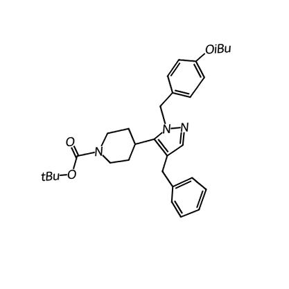 CC(C)COc1ccc(Cn2ncc(Cc3ccccc3)c2C2CCN(C(=O)OC(C)(C)C)CC2)cc1